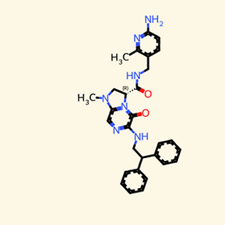 Cc1nc(N)ccc1CNC(=O)[C@H]1CN(C)c2cnc(NCC(c3ccccc3)c3ccccc3)c(=O)n21